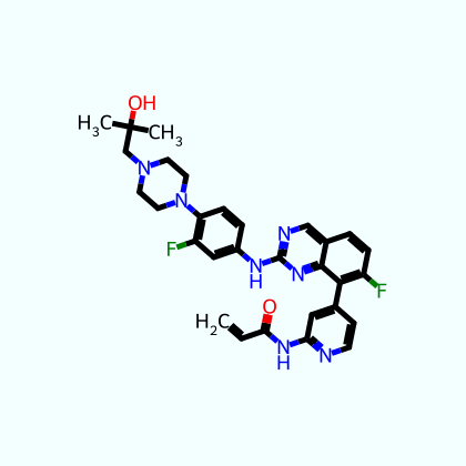 C=CC(=O)Nc1cc(-c2c(F)ccc3cnc(Nc4ccc(N5CCN(CC(C)(C)O)CC5)c(F)c4)nc23)ccn1